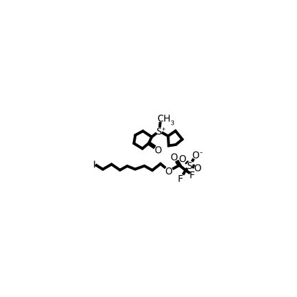 C[S+](C1CCCC1)C1CCCCC1=O.O=C(OCCCCCCCCI)C(F)(F)S(=O)(=O)[O-]